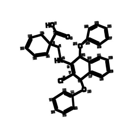 O=C(O)C1(CNC2=C(Cl)C(Oc3ccccc3)c3ccccc3C2Oc2ccccc2)C=CC=CC1